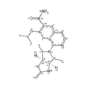 CC(C)Oc1cc2c(N3C(C)[C@H]4NC(=O)O[C@H]4C3C)nccc2cc1C(N)=O